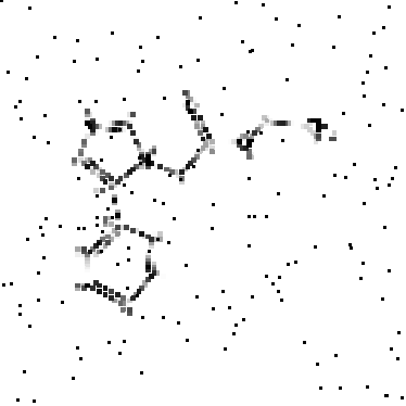 CCOC(=O)Cn1cncc1-c1ccccc1